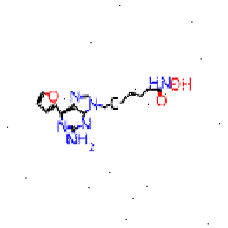 Nc1nc(-c2ccco2)c2ncn(CCCCCCC(=O)NO)c2n1